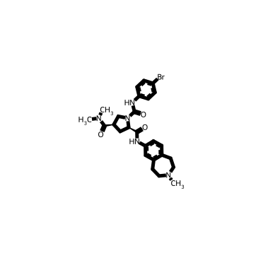 CN1CCc2ccc(NC(=O)[C@H]3C[C@@H](C(=O)N(C)C)CN3C(=O)Nc3ccc(Br)cc3)cc2CC1